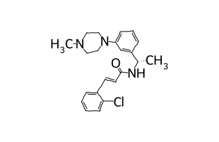 C[C@H](NC(=O)C=Cc1ccccc1Cl)c1cccc(N2CCN(C)CC2)c1